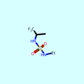 CCNS(=O)(=O)NC(C)C(F)(F)F